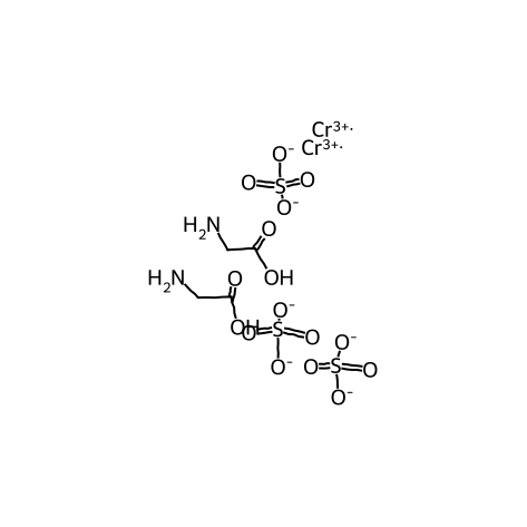 NCC(=O)O.NCC(=O)O.O=S(=O)([O-])[O-].O=S(=O)([O-])[O-].O=S(=O)([O-])[O-].[Cr+3].[Cr+3]